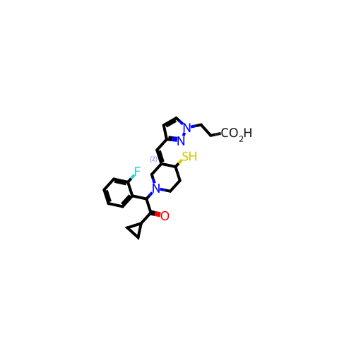 O=C(O)CCn1ccc(/C=C2/CN(C(C(=O)C3CC3)c3ccccc3F)CCC2S)n1